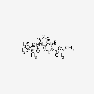 C=C(OCC)c1ccc2c(c1F)SCCN2C(=O)OC(C)(C)C